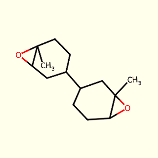 CC12CCC(C3CCC4OC4(C)C3)CC1O2